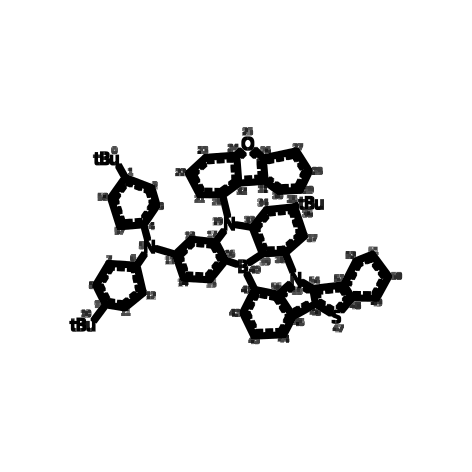 CC(C)(C)c1ccc(N(c2ccc(C(C)(C)C)cc2)c2ccc3c(c2)N(c2cccc4oc5ccccc5c24)c2cc(C(C)(C)C)cc4c2B3c2cccc3c5sc6ccccc6c5n-4c23)cc1